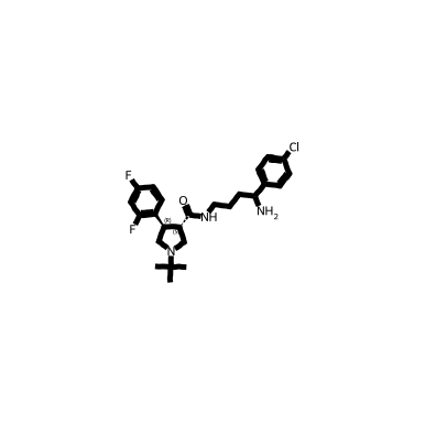 CC(C)(C)N1C[C@@H](C(=O)NCCCC(N)c2ccc(Cl)cc2)[C@H](c2ccc(F)cc2F)C1